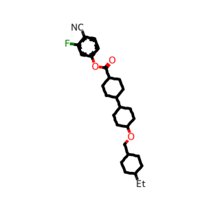 CCC1CCC(COC2CCC(C3CCC(C(=O)Oc4ccc(C#N)c(F)c4)CC3)CC2)CC1